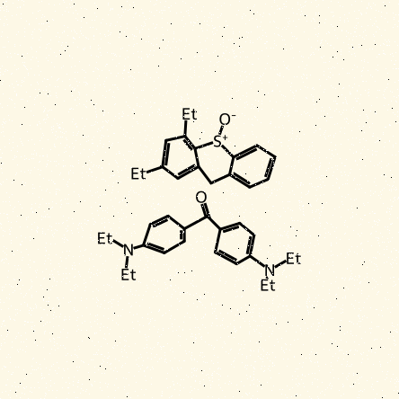 CCN(CC)c1ccc(C(=O)c2ccc(N(CC)CC)cc2)cc1.CCc1cc(CC)c2c(c1)Cc1ccccc1[S+]2[O-]